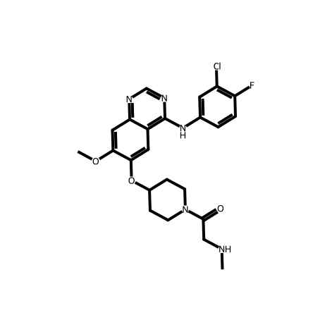 CNCC(=O)N1CCC(Oc2cc3c(Nc4ccc(F)c(Cl)c4)ncnc3cc2OC)CC1